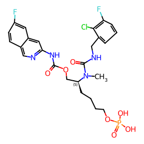 CN(C(=O)NCc1cccc(F)c1Cl)[C@@H](CCCCOP(=O)(O)O)COC(=O)Nc1cc2cc(F)ccc2cn1